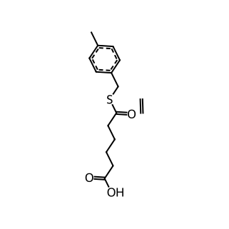 C=C.Cc1ccc(CSC(=O)CCCCC(=O)O)cc1